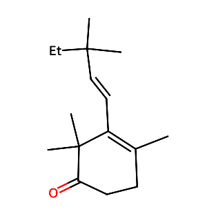 CCC(C)(C)/C=C/C1=C(C)CCC(=O)C1(C)C